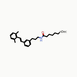 CCCCCCCCCCCCCCCC(=O)NCCCc1cccc(C=Cc2c(C)cccc2C)c1